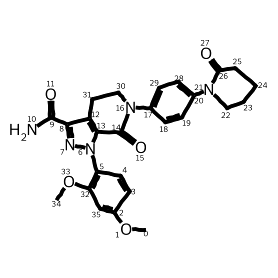 COc1ccc(-n2nc(C(N)=O)c3c2C(=O)N(c2ccc(N4CCCCC4=O)cc2)CC3)c(OC)c1